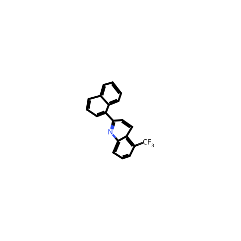 FC(F)(F)c1cccc2nc(-c3cccc4ccccc34)ccc12